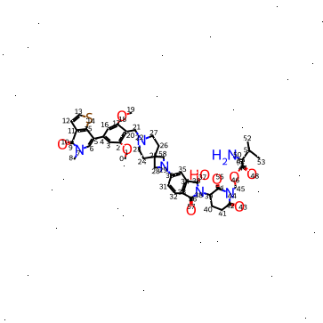 COc1cc(-c2cn(C)c(=O)c3ccsc23)cc(OC)c1CN1CCC2(CC1)CN(c1ccc3c(c1)C(O)N(C1CCC(=O)N(COC(=O)[C@@H](N)C(C)C)C1=O)C3=O)C2